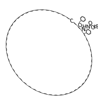 CC(C)(C)OC(=O)Nc1cccc2c1N=C1C=C(OCc3ccccc3)C=CCC=CC=CC=CC=CC=CC=CC=CC=CC=CC=CC=CC=CC=CC=CC=CC=CC=CC=CC=CC=CC=CC=CC=CC=CC=CC=CC=CC=CC=CC=CC=CC=CC=CC=CC=CC=CC=CC=CC=CC=CC=CC=CC=CC=CC=CC=CC=C12